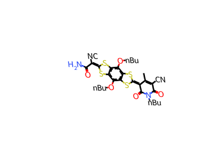 [C-]#[N+]C(C(N)=O)=C1Sc2c(OCCCC)c3c(c(OCCCC)c2S1)SC(=C1C(=O)N(CCCC)C(=O)C(C#N)=C1C)S3